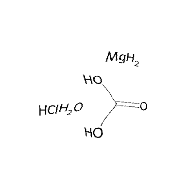 Cl.O.O=C(O)O.[MgH2]